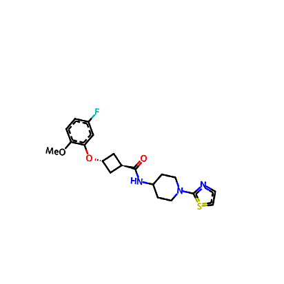 COc1ccc(F)cc1O[C@H]1C[C@H](C(=O)NC2CCN(c3nccs3)CC2)C1